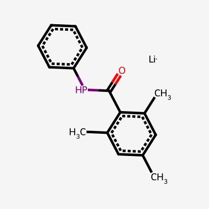 Cc1cc(C)c(C(=O)Pc2ccccc2)c(C)c1.[Li]